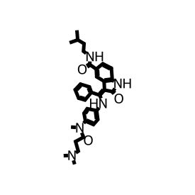 CC(C)CCNC(=O)c1ccc2c(c1)/C(=C(/Nc1ccc(N(C)C(=O)CCN(C)C)cc1)c1ccccc1)C(=O)N2